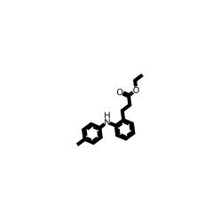 CCOC(=O)CCc1ccccc1Nc1ccc(C)cc1